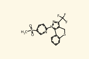 CS(=O)(=O)c1ccc(-n2nc(C(F)(F)F)c3c2-c2ccccc2SC3)nc1